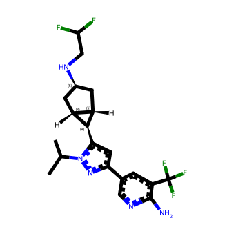 CC(C)n1nc(-c2cnc(N)c(C(F)(F)F)c2)cc1[C@H]1[C@@H]2C[C@@H](NCC(F)F)C[C@@H]21